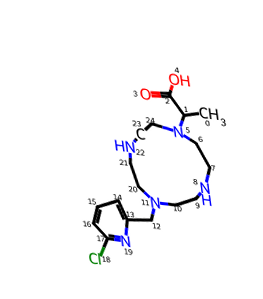 CC(C(=O)O)N1CCNCCN(Cc2cccc(Cl)n2)CCNCC1